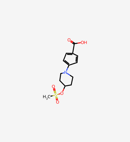 CS(=O)(=O)OC1CCN(c2ccc(C(=O)O)cc2)CC1